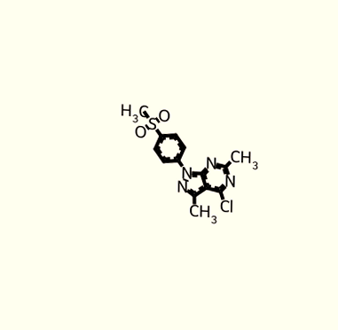 Cc1nc(Cl)c2c(C)nn(-c3ccc(S(C)(=O)=O)cc3)c2n1